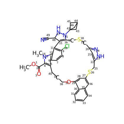 COC(=O)c1c2c3ccc(Cl)c(c3n1C)C1=C(CSCc3cc([nH]n3)CSc3cc(c4ccccc4c3)OCCC2)N(C23CC(C2)C3)NC1C#N